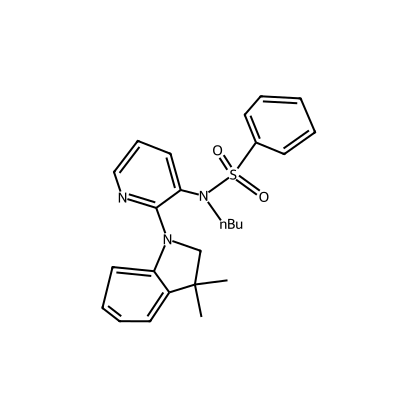 CCCCN(c1cccnc1N1CC(C)(C)c2ccccc21)S(=O)(=O)c1ccccc1